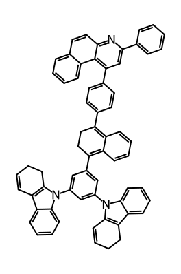 C1=Cc2c(c3ccccc3n2-c2cc(C3=c4ccccc4=C(c4ccc(-c5cc(-c6ccccc6)nc6ccc7ccccc7c56)cc4)CC3)cc(-n3c4c(c5ccccc53)C=CCC4)c2)CC1